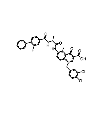 C[C@H](NC(=O)c1ccc(-c2ccccc2)c(F)c1)C(=O)Nc1ccc2c(c1I)c(=O)c(C(=O)O)cn2Cc1ccc(Cl)c(Cl)c1